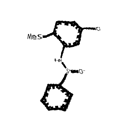 CSc1ccc(Cl)cc1N[S+]([O-])c1ccccc1